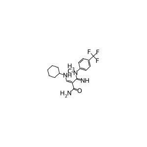 CN(C(=N)/C(=C\NC1CCCCC1)C(N)=O)c1ccc(C(F)(F)F)cc1